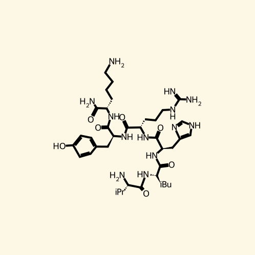 CC[C@H](C)[C@H](NC(=O)[C@@H](N)C(C)C)C(=O)N[C@H](Cc1c[nH]cn1)C(=O)N[C@@H](CCCNC(=N)N)C(=O)N[C@@H](Cc1ccc(O)cc1)C(=O)N[C@@H](CCCCN)C(N)=O